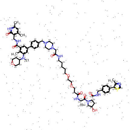 CCN(c1cc(-c2ccc(CN3CCN(CC(=O)NCCCCCOCCOCCC(=O)N[C@H](C(=O)N4C[C@H](O)C[C@H]4C(=O)NCc4ccc(-c5scnc5C)cc4)C(C)(C)C)CC3)cc2)cc(C(=O)NCc2c(C)cc(C)[nH]c2=O)c1C)C1CCOCC1